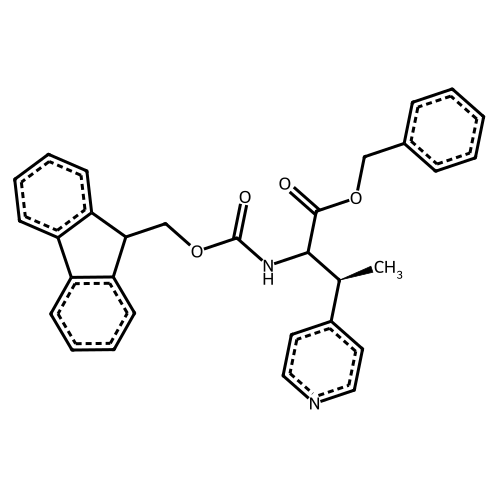 C[C@@H](c1ccncc1)C(NC(=O)OCC1c2ccccc2-c2ccccc21)C(=O)OCc1ccccc1